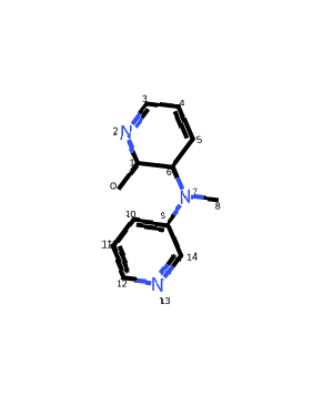 CC1N=CC=CC1N(C)c1cccnc1